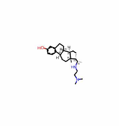 C[C@H](NCCN(C)C)[C@H]1CC[C@@H]2[C@H]3CCc4cc(O)ccc4[C@@H]3CC[C@]21C